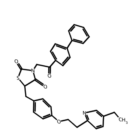 CCc1ccc(CCOc2ccc(CC3SC(=O)N(CC(=O)c4ccc(-c5ccccc5)cc4)C3=O)cc2)nc1